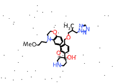 COCCCN1CCOc2ccc(CO[C@H]3CNCC[C@]3(O)c3ccc(COCC(C)Cn4ncnn4)cc3)cc21